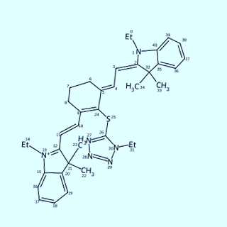 CCN1/C(=C/C=C2\CCCC(/C=C/C3=[N+](CC)c4ccccc4C3(C)C)=C2Sc2nnnn2CC)C(C)(C)c2ccccc21